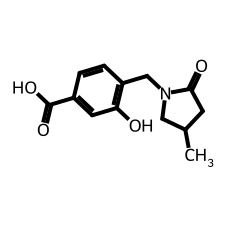 CC1CC(=O)N(Cc2ccc(C(=O)O)cc2O)C1